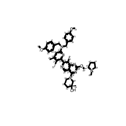 COc1ccc(CN(Cc2ccc(OC)cc2)c2cc(C)c(I)c(-c3ncc4c(N5CCC[C@@](C)(O)C5)nc(OC[C@@H]5CCCN5C)nc4c3F)n2)cc1